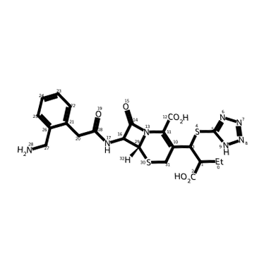 CCC(C(=O)O)C(Sc1nnn[nH]1)C1=C(C(=O)O)N2C(=O)C(NC(=O)Cc3ccccc3CN)[C@H]2SC1